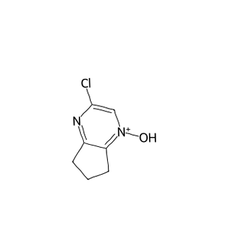 O[n+]1cc(Cl)nc2c1CCC2